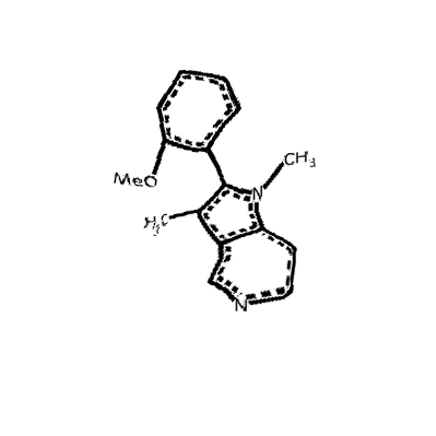 COc1ccccc1-c1c(C)c2cnccc2n1C